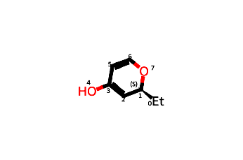 CC[C@H]1C=C(O)C=CO1